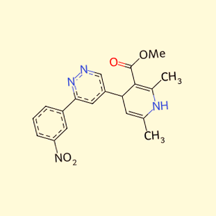 COC(=O)C1=C(C)NC(C)=CC1c1cnnc(-c2cccc([N+](=O)[O-])c2)c1